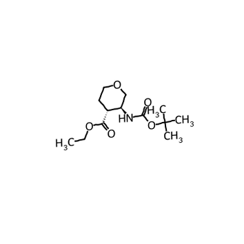 CCOC(=O)[C@@H]1CCOC[C@H]1NC(=O)OC(C)(C)C